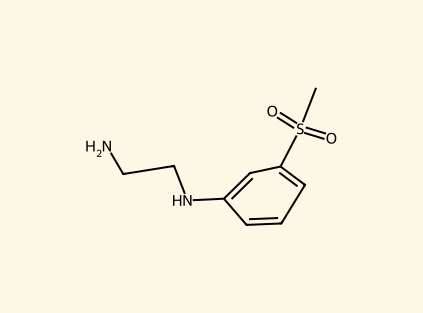 CS(=O)(=O)c1cccc(NCCN)c1